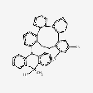 CC1(C)c2ccccc2N(c2cccc3c2CCc2c(N)cc(C#N)cc2-c2ccccc2-c2ccccc2-3)c2ccccc21